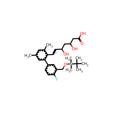 Cc1cc(C)c(/C=C/C(O)CC(O)CC(=O)O)c(-c2ccc(F)c(CO[Si](C)(C)C(C)(C)C)c2)c1